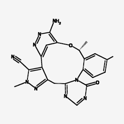 Cc1ccc2c(c1)[C@@H](C)Oc1cc(nnc1N)-c1c(nn(C)c1C#N)Cc1ncnc(=O)n1-2